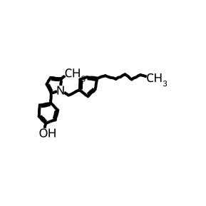 CCCCCCc1ccc(Cn2c(C)ccc2-c2ccc(O)cc2)cc1